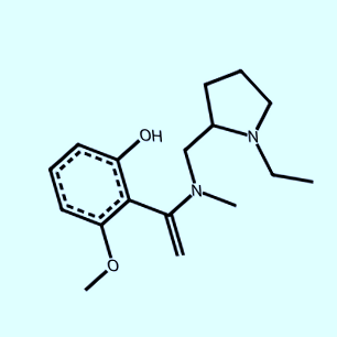 C=C(c1c(O)cccc1OC)N(C)CC1CCCN1CC